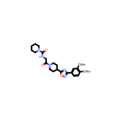 COc1ccc(-c2noc(C3CCN(C(=O)CNC(=O)N4CCCCC4)CC3)n2)cc1OC